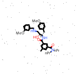 CCCN(CCC)C(=O)c1cc(C)cc(C(=O)N[C@@H](Cc2ccc(OC)cc2)[C@H](O)CNCc2cccc(OC)c2)c1